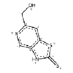 OCc1cc2sc(=S)[nH]c2cn1